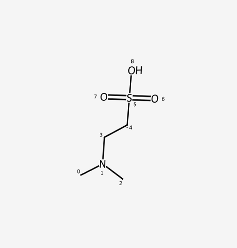 CN(C)C[CH]S(=O)(=O)O